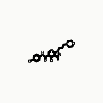 Cc1nn(CCCN2CCOCC2)c2ncc(C(=O)Nc3ccc(Cl)cc3)c(Cl)c12